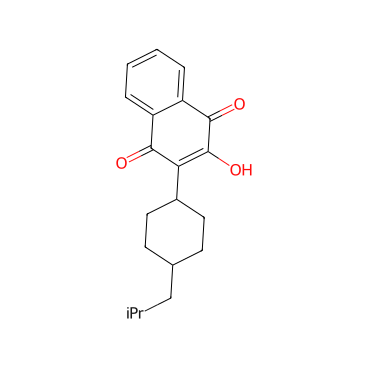 CC(C)CC1CCC(C2=C(O)C(=O)c3ccccc3C2=O)CC1